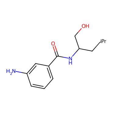 CC(C)CC(CO)NC(=O)c1cccc(N)c1